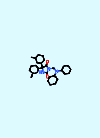 CC1CCCC(C2(C3CCCC(C)C3)NC(=O)N(CN(C3CCCCC3)C3CCCCC3)C2=O)C1